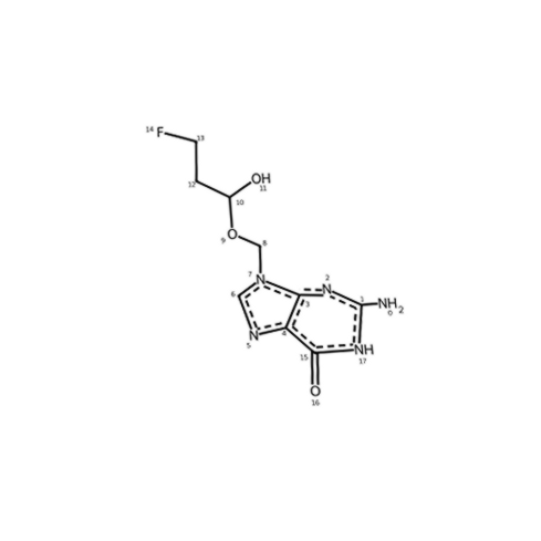 Nc1nc2c(ncn2COC(O)CCF)c(=O)[nH]1